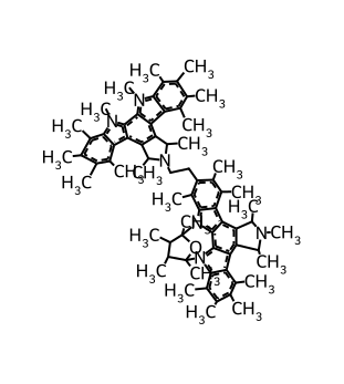 Cc1c(C)c(C)c2c(c1C)c1c3c(c4c5c(C)c(C)c(C)c(C)c5n(C)c4c1n2C)C(C)N(CCc1c(C)c(C)c2c4c5c(c6c7c(C)c(C)c(C)c(C)c7n7c6c4n(c2c1C)C1(C)OC7(C)C(C)C1C)C(C)N(C)C5C)C3C